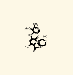 COc1c(N)ncnc1Nc1cc(C)c2n(c1=O)C1(CCNCC1)NC2=O.Cl